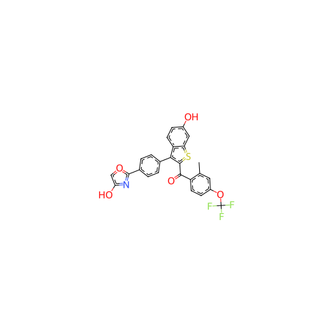 Cc1cc(OC(F)(F)F)ccc1C(=O)c1sc2cc(O)ccc2c1-c1ccc(-c2nc(O)co2)cc1